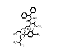 COC(=O)N(C(=O)[C@@H](N)C(c1ccccc1)c1ccccc1)[C@@H](C)CCC[C@@H](CO)N(CCC(C)C)S(=O)(=O)c1ccc(N)c(F)c1